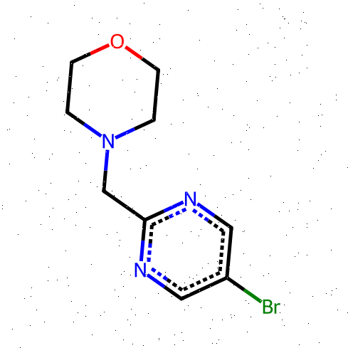 Brc1cnc(CN2CCOCC2)nc1